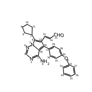 Nc1ncnn2c(C3CCCC3)c(C=CC=O)c(-c3ccc(Oc4ccccc4)cc3)c12